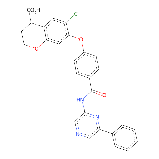 O=C(Nc1cncc(-c2ccccc2)n1)c1ccc(Oc2cc3c(cc2Cl)C(C(=O)O)CCO3)cc1